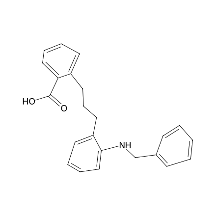 O=C(O)c1ccccc1CCCc1ccccc1NCc1ccccc1